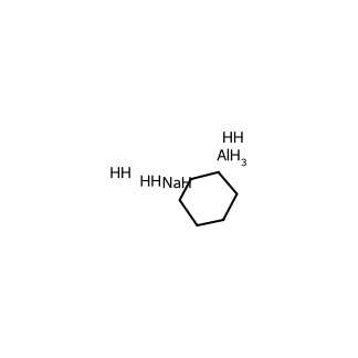 C1CCCCC1.[AlH3].[HH].[HH].[HH].[NaH]